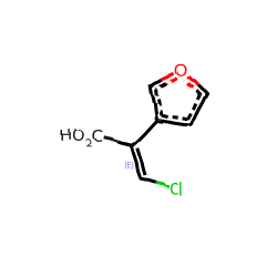 O=C(O)/C(=C/Cl)c1ccoc1